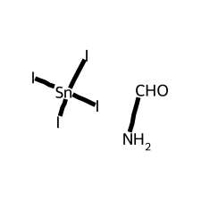 NC=O.[I][Sn]([I])([I])[I]